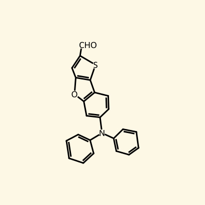 O=Cc1cc2oc3cc(N(c4ccccc4)c4ccccc4)ccc3c2s1